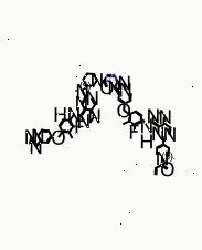 C=CC(=O)N1CC=C(c2ncc3ncnc(Nc4ccc(Oc5ccn6nc(/C=C\C(=O)N7CCC[C@H](N(C)c8ncc9ncnc(Nc%10ccc(Oc%11ccn%12ncnc%12c%11)c(C)c%10F)c9n8)C7)nc6c5)c(C)c4F)c3n2)C[C@@H]1C